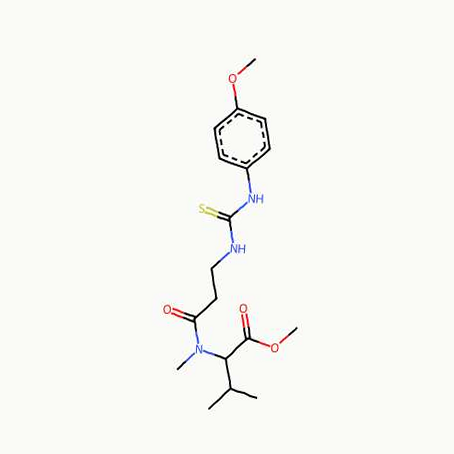 COC(=O)C(C(C)C)N(C)C(=O)CCNC(=S)Nc1ccc(OC)cc1